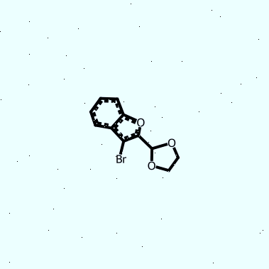 Brc1c(C2OCCO2)oc2ccccc12